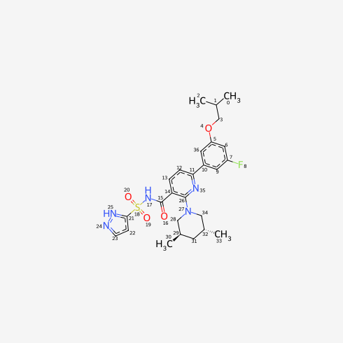 CC(C)COc1cc(F)cc(-c2ccc(C(=O)NS(=O)(=O)c3ccn[nH]3)c(N3C[C@H](C)C[C@@H](C)C3)n2)c1